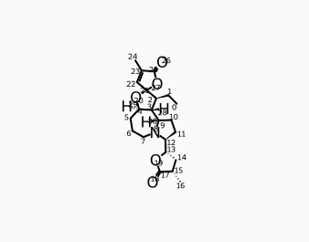 CC[C@H]1[C@H]2[C@@H](CCCN3[C@H]2CC[C@H]3[C@@H]2C[C@H](C)C(=O)O2)O[C@]12C=C(C)C(=O)O2